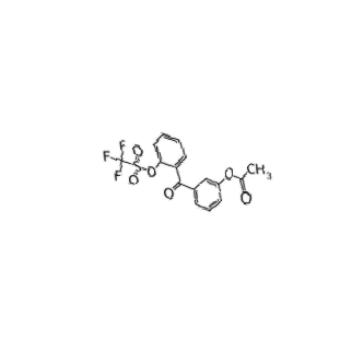 CC(=O)Oc1cccc(C(=O)c2ccccc2OS(=O)(=O)C(F)(F)F)c1